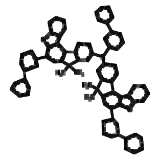 CC1(C)c2cc(N(c3cccc(-c4ccccc4)c3)c3ccc4c(c3)C(C)(C)c3cc(-c5cccc(-c6ccccc6)c5)c5oc6ccccc6c5c3-4)ccc2-c2c1cc(-c1cccc(-c3ccccc3)c1)c1oc3ccccc3c21